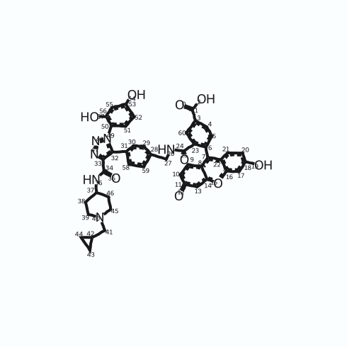 O=C(O)c1ccc(-c2c3ccc(=O)cc-3oc3cc(O)ccc23)c(C(=O)NCc2ccc(-c3c(C(=O)NC4CCN(CC5CC5)CC4)nnn3-c3ccc(O)cc3O)cc2)c1